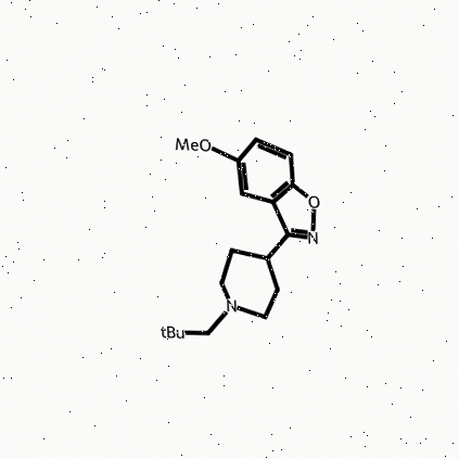 COc1ccc2onc(C3CCN(CC(C)(C)C)CC3)c2c1